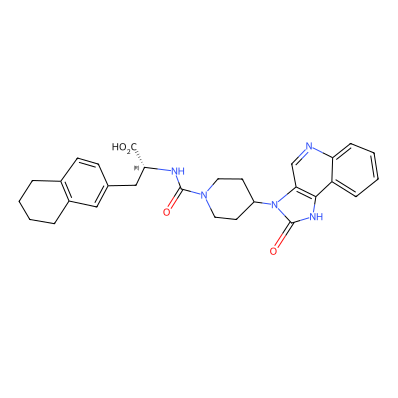 O=C(O)[C@@H](Cc1ccc2c(c1)CCCC2)NC(=O)N1CCC(n2c(=O)[nH]c3c4ccccc4ncc32)CC1